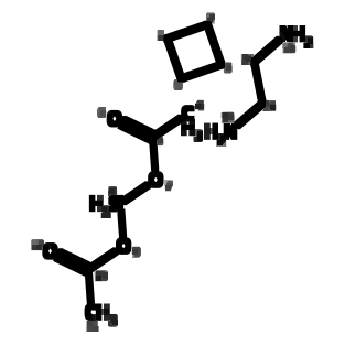 C1CCC1.CC(=O)O[SiH2]OC(C)=O.NCCN